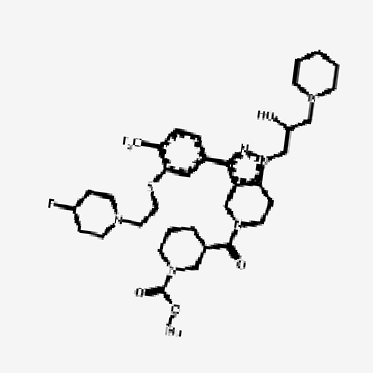 CC(C)(C)OC(=O)N1CCCC(C(=O)N2CCc3c(c(-c4ccc(C(F)(F)F)c(SCCN5CCC(F)CC5)c4)nn3CC(O)CN3CCCCC3)C2)C1